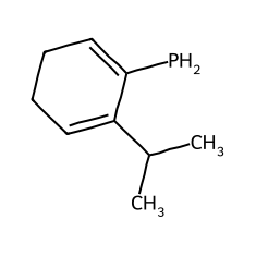 CC(C)C1=CCCC=C1P